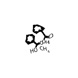 C.O=C(O)c1ccccc1.O=C(O)c1ccccc1